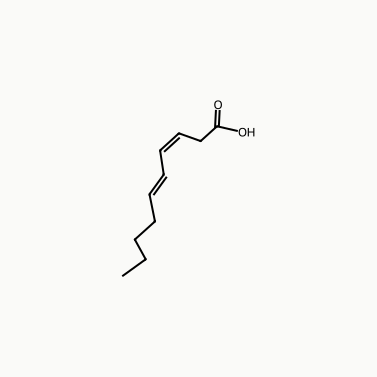 CCCC/C=C/C=C\CC(=O)O